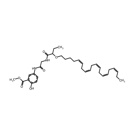 CC/C=C\C/C=C\C/C=C\C/C=C\C/C=C\CCCCOC(CC)C(=O)NCC(=O)Nc1ccc(O)c(C(=O)OC)c1